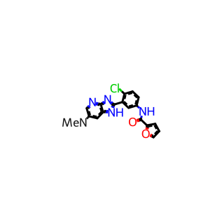 CNc1cnc2nc(-c3cc(NC(=O)c4ccco4)ccc3Cl)[nH]c2c1